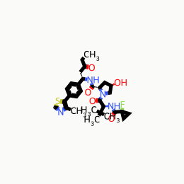 CCC(=O)C[C@H](NC(=O)[C@@H]1C[C@@H](O)CN1C(=O)[C@@H](NC(=O)C1(F)CC1)C(C)(C)C)c1ccc(-c2scnc2C)cc1